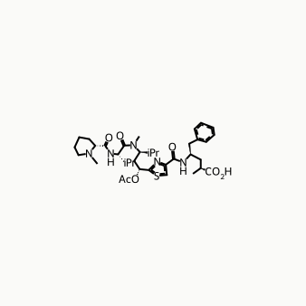 CC(=O)O[C@H](C[C@H](C(C)C)N(C)C(=O)[C@@H](NC(=O)[C@H]1CCCCN1C)C(C)C)c1nc(C(=O)N[C@@H](Cc2ccccc2)C[C@H](C)C(=O)O)cs1